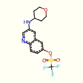 O=S(=O)(Oc1ccc2ncc(NC3CCOCC3)cc2c1)C(F)(F)F